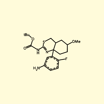 COC1CCC2(c3cc(N)ccc3F)N=C(NC(=O)OC(C)(C)C)SCC2C1